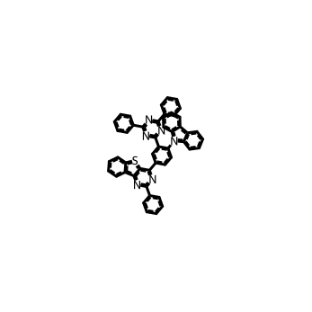 c1ccc(-c2nc(-c3ccccc3)nc(-c3cc(-c4nc(-c5ccccc5)nc5c4sc4ccccc45)ccc3-n3c4ccccc4c4ccccc43)n2)cc1